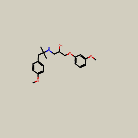 COc1ccc(CC(C)(C)NCC(O)COc2cccc(OC)c2)cc1